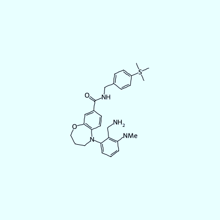 CNc1cccc(N2CCCOc3cc(C(=O)NCc4ccc(S(C)(C)C)cc4)ccc32)c1CN